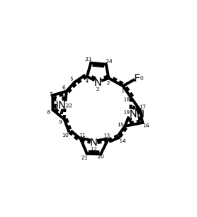 Fc1c2nc(cc3ccc(cc4nc(cc5ccc1[nH]5)C=C4)[nH]3)C=C2